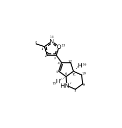 Cc1cc(C2=C[C@@H]3NCCC[C@@H]3C2)on1